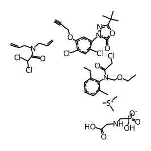 C#CCOc1cc(-n2nc(C(C)(C)C)oc2=O)c(Cl)cc1Cl.C=CCN(CC=C)C(=O)C(Cl)Cl.CCOCN(C(=O)CCl)c1c(C)cccc1CC.C[S+](C)C.O=C(O)CNCP(=O)([O-])O